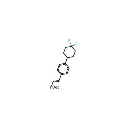 CCCCCCCCCCC=Cc1ccc(C2CCC(F)(F)CC2)cc1